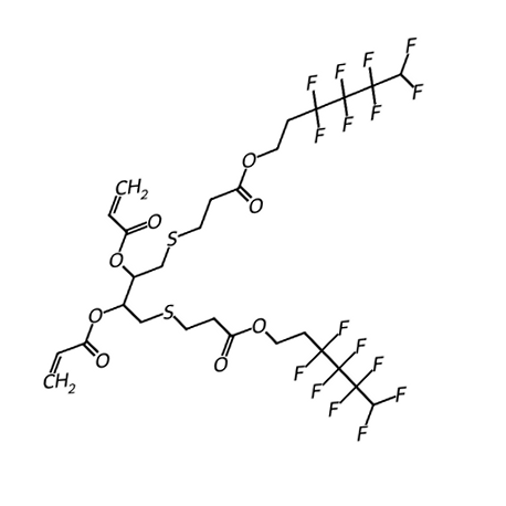 C=CC(=O)OC(CSCCC(=O)OCCC(F)(F)C(F)(F)C(F)(F)C(F)F)C(CSCCC(=O)OCCC(F)(F)C(F)(F)C(F)(F)C(F)F)OC(=O)C=C